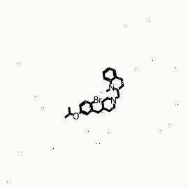 CC(C)Oc1ccc(Br)c(CC2CCN(CC3CCc4ccccc4N3C)CC2)c1